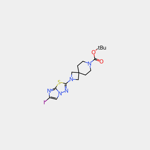 CC(C)(C)OC(=O)N1CCC2(CC1)CN(c1nn3cc(I)nc3s1)C2